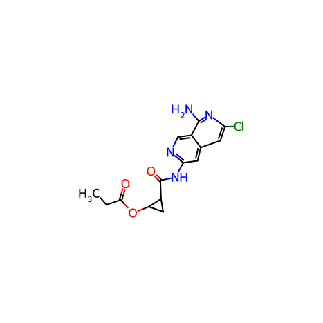 CCC(=O)OC1CC1C(=O)Nc1cc2cc(Cl)nc(N)c2cn1